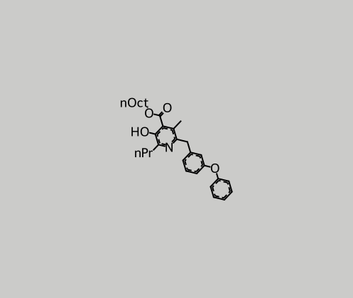 CCCCCCCCOC(=O)c1c(C)c(Cc2cccc(Oc3ccccc3)c2)nc(CCC)c1O